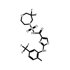 Cc1ccc(C(F)(F)F)cc1Nc1nc(C(=O)NS(=O)(=O)N2CCOCC(F)(F)C2)co1